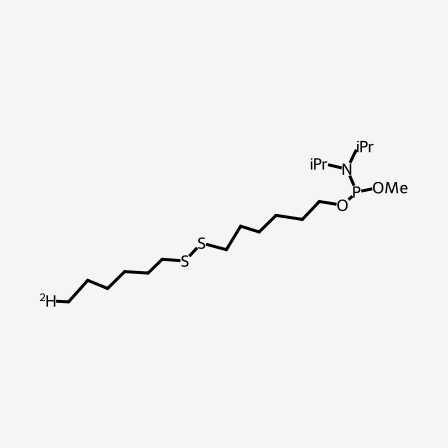 [2H]CCCCCCSSCCCCCCOP(OC)N(C(C)C)C(C)C